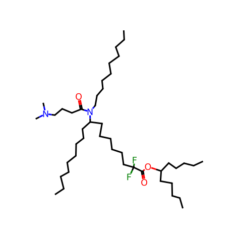 CCCCCCCCCCN(C(=O)CCCN(C)C)C(CCCCCCCCC)CCCCCCC(F)(F)C(=O)OC(CCCCC)CCCCC